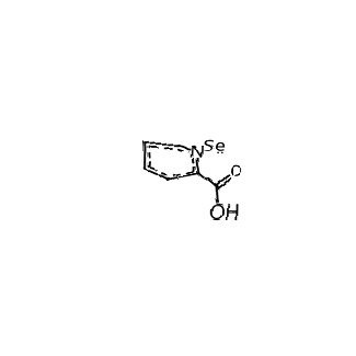 O=C(O)c1ccccn1.[Se]